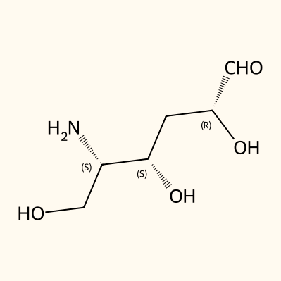 N[C@@H](CO)[C@@H](O)C[C@@H](O)C=O